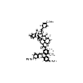 COc1ccc(CNc2nccnc2[C@@H](C)N2CCOc3nc(-c4cc(N(Cc5ccc(OC)cc5)Cc5ccc(OC)cc5)c(F)c(C)c4C(F)(F)F)c(F)c4nc(OC[C@@H]5CC(F)(F)CN5C)nc2c34)cc1